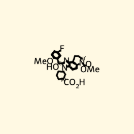 COC(=O)N1c2ccc3c(nc([C@@H](O)c4cc(F)ccc4OC)n3C3CCC[C@@H](C(=O)O)C3)c2CC[C@@H]1C